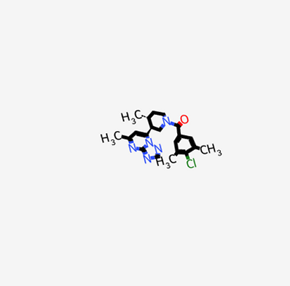 Cc1cc([C@@H]2CN(C(=O)c3cc(C)c(Cl)c(C)c3)CC[C@H]2C)n2ncnc2n1